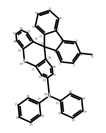 Cc1ccc2c(c1)-c1ccccc1C21c2ccccc2Sc2cc(N(c3ccccc3)c3ccccc3)ccc21